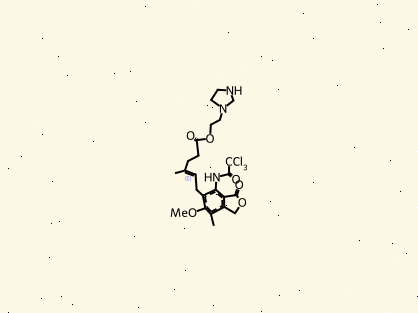 COc1c(C)c2c(c(NC(=O)C(Cl)(Cl)Cl)c1C/C=C(\C)CCC(=O)OCCN1CCNC1)C(=O)OC2